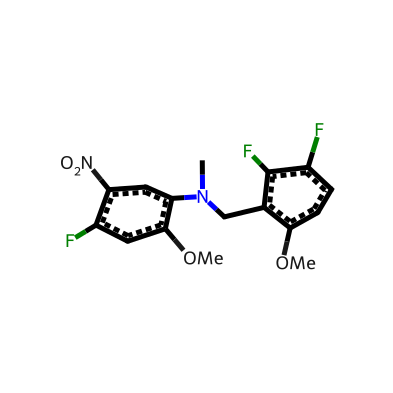 COc1cc(F)c([N+](=O)[O-])cc1N(C)Cc1c(OC)ccc(F)c1F